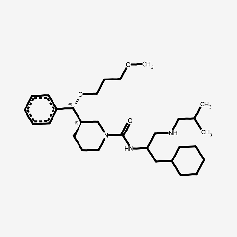 COCCCO[C@@H](c1ccccc1)[C@@H]1CCCN(C(=O)NC(CNCC(C)C)CC2CCCCC2)C1